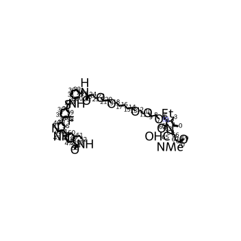 C=C1C(C)/C(=C(\CC)OCCOCCOCCCCCOCCOCCC(=O)Nc2cccc(NSc3ccc(-c4cnc(N)c(-c5ccc6c(c5)CCNC6=O)c4)c(F)c3)c2)C(=O)N1C(C=O)CCC(=O)NC